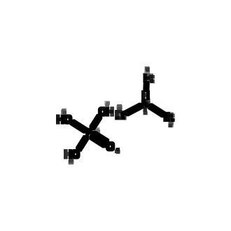 CC[SiH](CC)CC.O=P(O)(O)O